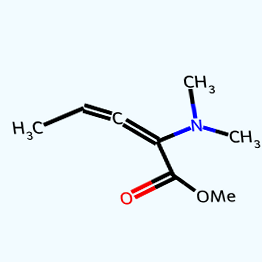 CC=C=C(C(=O)OC)N(C)C